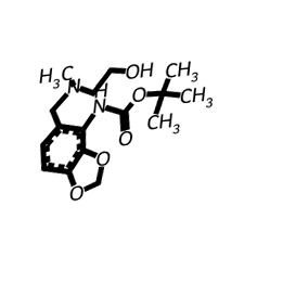 CN(CCO)Cc1ccc2c(c1NC(=O)OC(C)(C)C)OCO2